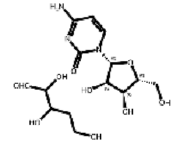 Nc1ccn([C@@H]2O[C@H](CO)[C@@H](O)[C@H]2O)c(=O)n1.O=CC(O)C(O)CCO